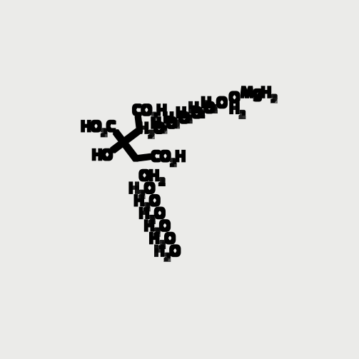 O.O.O.O.O.O.O.O.O.O.O.O.O.O.O=C(O)CC(O)(CC(=O)O)C(=O)O.[MgH2]